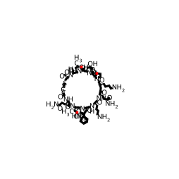 CCC(C)[C@H]1NC(=O)[C@@H](CCC(N)=O)NC(=O)CCSSC[C@H](C(=O)O)NC(=O)[C@@H](CC(C)C)NC(=O)[C@@H](CC(=O)O)NC(=O)[C@H]2CCCN2C(=O)[C@@H](CCCCN)CC(=O)[C@@H](CCC(N)=O)NC(=O)[C@@H](CCCCN)NC(=O)[C@@H](Cc2c[nH]c3ccccc23)NC1=O